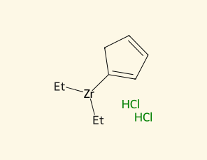 C[CH2][Zr]([CH2]C)[C]1=CC=CC1.Cl.Cl